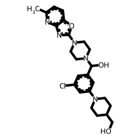 Cc1ccc2oc(N3CCN(C(O)c4cc(Cl)cc(N5CCC(CO)CC5)c4)CC3)nc2n1